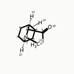 CN1[C@H]2CC[C@H](CC2)[C@H]1C(=O)I